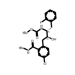 CC(C)(C)NC(=O)c1cc(Cl)ccc1C[C@H](O)[C@@H](Cc1ccccc1F)NC(=O)OC(C)(C)C